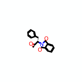 O=C1c2ccccc2C(=O)N1[C@@H](Cc1ccccc1)[C@H]1CO1